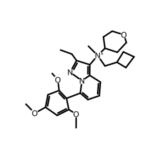 CCc1nn2c(-c3c(OC)cc(OC)cc3OC)cccc2c1[N+](C)(CC1CCC1)C1CCOCC1